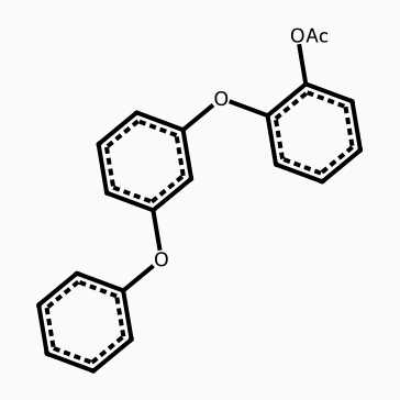 CC(=O)Oc1ccccc1Oc1cccc(Oc2ccccc2)c1